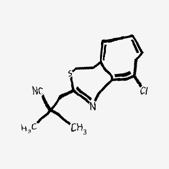 CC(C)(C#N)c1nc2c(Cl)cccc2s1